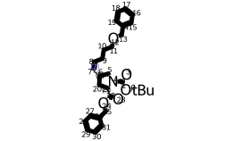 CC(C)(C)OC(=O)N1C[C@@H](/C=C\CCCOCc2ccccc2)C[C@H]1C(=O)OCc1ccccc1